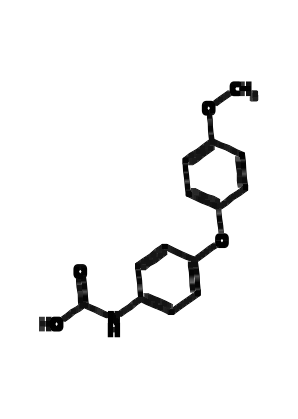 COc1ccc(Oc2ccc(NC(=O)O)cc2)cc1